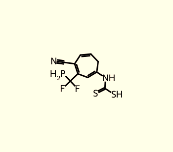 N#CC1=C(C(F)(F)P)C=C(NC(=S)S)CC=C1